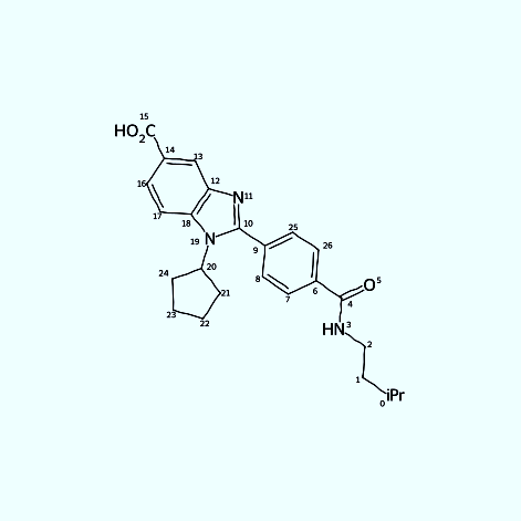 CC(C)CCNC(=O)c1ccc(-c2nc3cc(C(=O)O)ccc3n2C2CCCC2)cc1